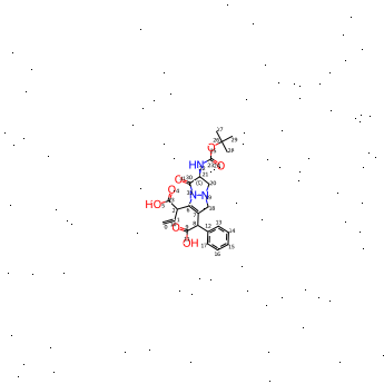 C=CC(C(=O)O)C1=C(C(C(=O)O)c2ccccc2)CN2C[C@H](NC(=O)OC(C)(C)C)C(=O)N12